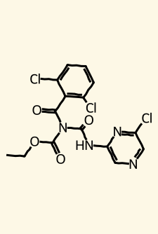 CCOC(=O)N(C(=O)Nc1cncc(Cl)n1)C(=O)c1c(Cl)cccc1Cl